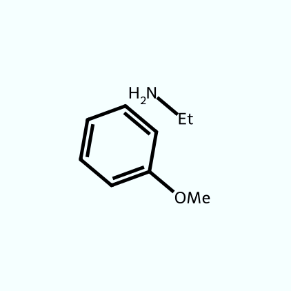 CCN.COc1ccccc1